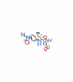 COC(=O)c1ccc2c(c1)NC(=O)C2=C(Nc1ccc(N(CCN(C)C)C(C)=O)cc1)c1cccs1